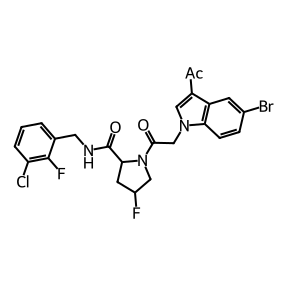 CC(=O)c1cn(CC(=O)N2CC(F)CC2C(=O)NCc2cccc(Cl)c2F)c2ccc(Br)cc12